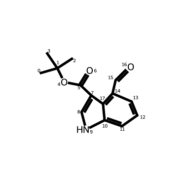 CC(C)(C)OC(=O)c1c[nH]c2cccc(C=O)c12